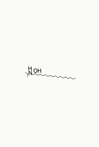 CCCCCCCCCCCCCCCCC(O)CNC(C)C